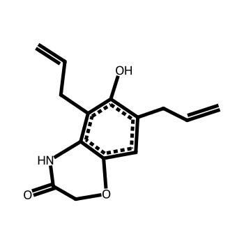 C=CCc1cc2c(c(CC=C)c1O)NC(=O)CO2